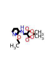 CCCOc1ncccc1NC=C1C(=O)OC(C)(C)OC1=O